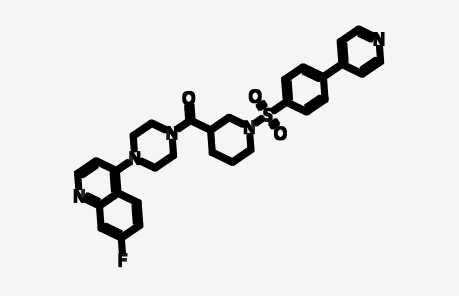 O=C(C1CCCN(S(=O)(=O)c2ccc(-c3ccncc3)cc2)C1)N1CCN(c2ccnc3cc(F)ccc23)CC1